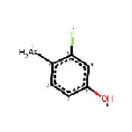 Oc1ccc([AsH2])c(F)c1